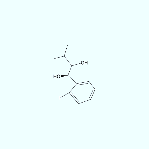 CC(C)C(O)[C@H](O)c1ccccc1I